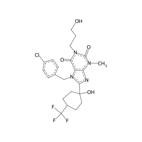 Cn1c(=O)n(CCCO)c(=O)c2c1nc(C1(O)CCC(C(F)(F)F)CC1)n2Cc1ccc(Cl)cc1